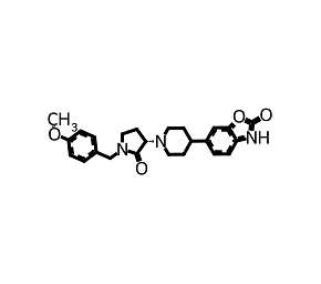 COc1ccc(CN2CC[C@H](N3CCC(c4ccc5[nH]c(=O)oc5c4)CC3)C2=O)cc1